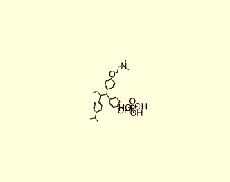 CCC(=C(c1ccc(O)cc1)c1ccc(OCCN(C)C)cc1)c1ccc(C(C)C)cc1.O=P(O)(O)O